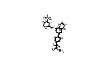 CC(C)(C(N)=O)c1ccc(-c2cc3nccnc3c(OCC3CN(S(C)(=O)=O)CCO3)n2)cc1